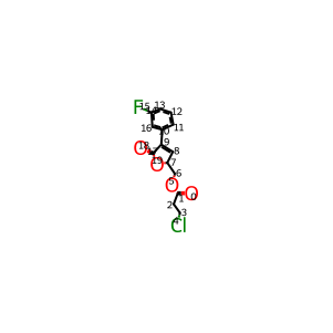 O=C(CCCl)OCC1C=C(c2cccc(F)c2)C(=O)O1